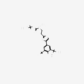 CN(CCc1nc(-c2cc(C(C)(C)C)c(O)c(C(C)(C)C)c2)cs1)C(=O)OC(C)(C)C